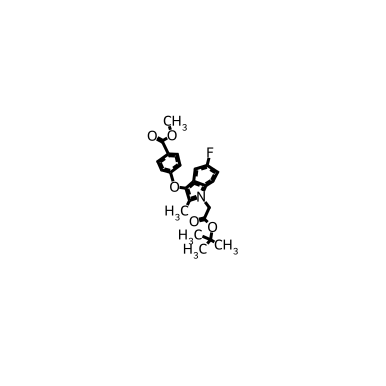 COC(=O)c1ccc(Oc2c(C)n(CC(=O)OC(C)(C)C)c3ccc(F)cc23)cc1